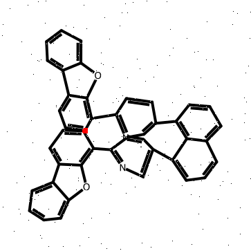 c1cc(-c2ccc(-c3cccc4c3oc3ccccc34)nc2)c2c(-c3ccc(-c4cccc5c4oc4ccccc45)nc3)cccc2c1